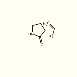 C=[CH][Pt].O=C1CCCN1